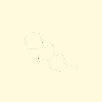 Nc1cc(Cl)ccc1C(=O)N1CCOCC1